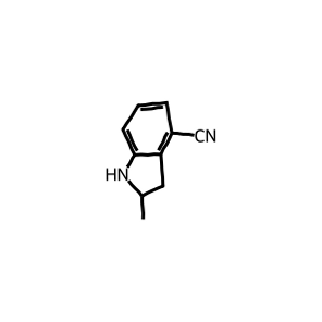 CC1Cc2c(C#N)cccc2N1